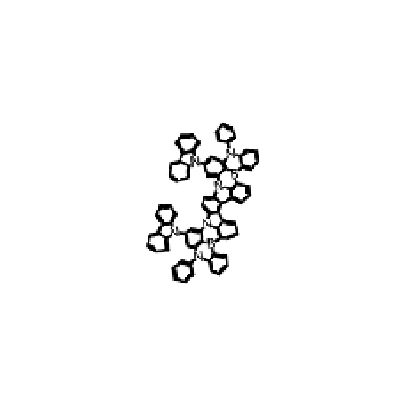 c1ccc(N2c3ccccc3B3c4c2cc(-n2c5ccccc5c5ccccc52)cc4-n2c4ccc5c(c6cccc7c6n5-c5cc(-n6c8ccccc8c8ccccc86)cc6c5B7c5ccccc5N6c5ccccc5)c4c4cccc3c42)cc1